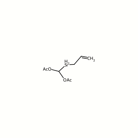 C=CC[SiH2]C(OC(C)=O)OC(C)=O